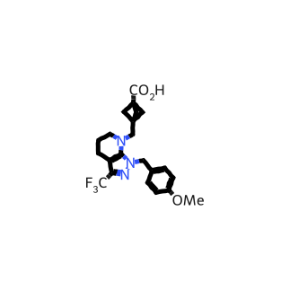 COc1ccc(Cn2nc(C(F)(F)F)c3c2N(CC24CC(C(=O)O)(C2)C4)CCC3)cc1